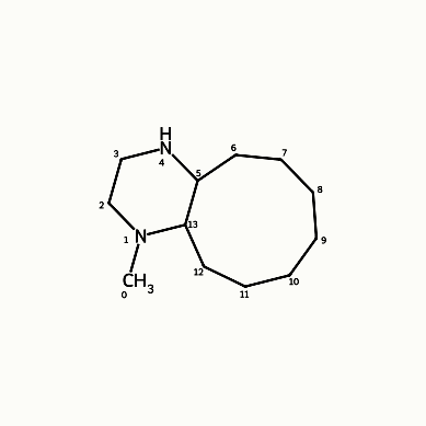 CN1CCNC2CCCCCCCC21